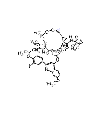 CC[C@@H]1C[C@H](C)CC/C=C\C2CC2(C(=O)NS(=O)(=O)C2(C)CC2)NC(=O)[C@@H]2C[C@@H](Oc3cc(-c4ccc(OC(C)C)c(F)c4)nc4cc(OC)ccc34)CN2C(=O)[C@H]1NC(=O)O